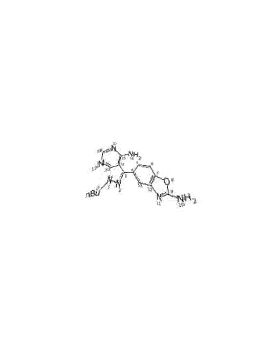 [CH2]CCCn1nc(-c2ccc3oc(N)nc3c2)c2c(N)ncnc21